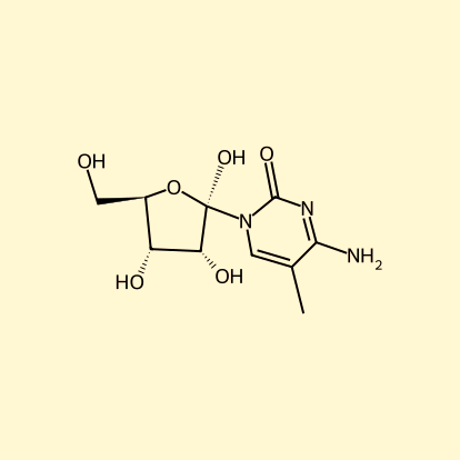 Cc1cn([C@]2(O)O[C@H](CO)[C@@H](O)[C@H]2O)c(=O)nc1N